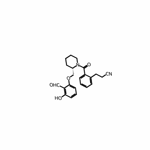 N#CCCc1ccccc1C(=O)N1CCCC[C@H]1COc1cccc(O)c1C=O